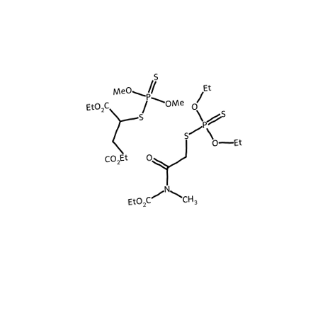 CCOC(=O)CC(SP(=S)(OC)OC)C(=O)OCC.CCOC(=O)N(C)C(=O)CSP(=S)(OCC)OCC